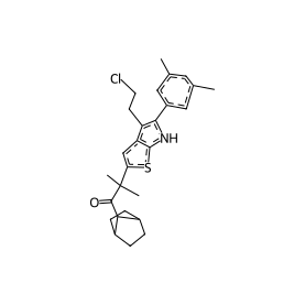 Cc1cc(C)cc(-c2[nH]c3sc(C(C)(C)C(=O)C4C5CCC4CC5)cc3c2CCCl)c1